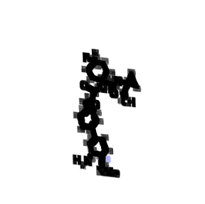 C#CC1(NC(=O)C2(NC(=O)c3cc4ccc(C5=CN(N)/C(=C\NC)C=C5)cc4o3)CCC(F)(F)CC2)CC1